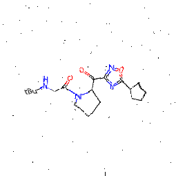 CC(C)(C)NCC(=O)N1CCCC1C(=O)c1noc(C2CCCC2)n1